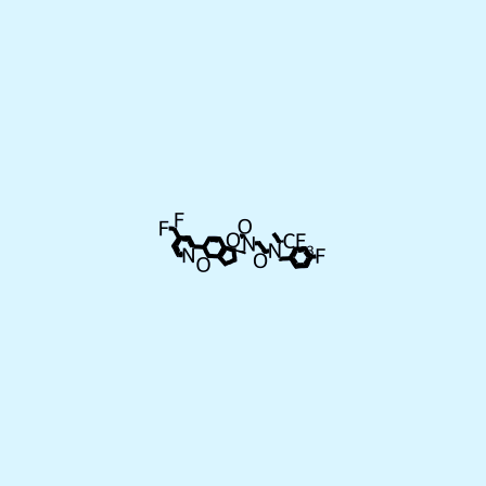 C[C@H](N(Cc1ccc(F)cc1)C(=O)CN1C[C@]2(CCC3=C2C=CC(c2cc(C(F)F)ccn2)C3=O)OC1=O)C(F)(F)F